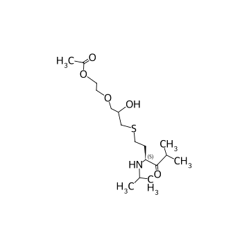 CC(=O)OCCOCC(O)CSCC[C@H](NC(C)C)C(=O)C(C)C